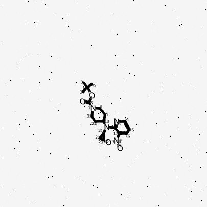 CC(C)(C)OC(=O)N1CCC(N(c2ncccc2[N+](=O)[O-])C2CC2)CC1